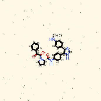 O=CNc1ccc(-c2nc[nH]c2-c2ccc(NC(=O)[C@@H]3CCCN3C(=O)C(=O)c3ccccc3)cc2)cc1